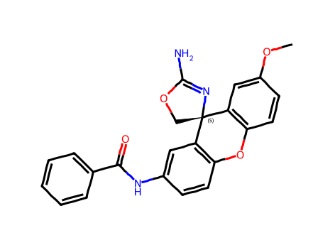 COc1ccc2c(c1)[C@]1(COC(N)=N1)c1cc(NC(=O)c3ccccc3)ccc1O2